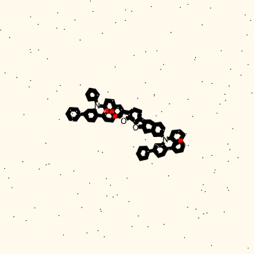 c1ccc(-c2ccc(-c3ccccc3)c(N(c3ccccc3)c3ccc4cc5c(cc4c3)oc3c5ccc4c5cc6ccc(N(c7ccccc7)c7cc(-c8ccccc8)ccc7-c7ccccc7)cc6cc5oc43)c2)cc1